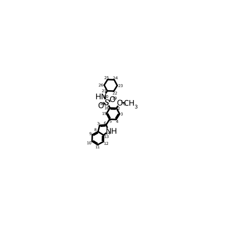 COc1ccc(-c2[c]c3ccccc3[nH]2)cc1S(=O)(=O)NC1CCCCC1